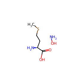 CSCC[C@H](N)C(=O)O.NO